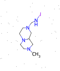 CN1CCN2CCN(CNI)CC2C1